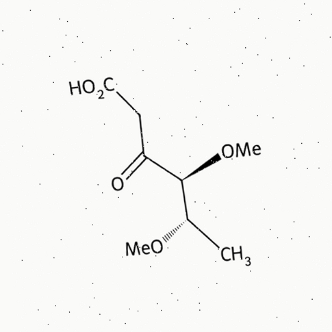 CO[C@@H](C)[C@H](OC)C(=O)CC(=O)O